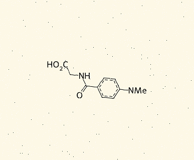 CNc1ccc(C(=O)NCC(=O)O)cc1